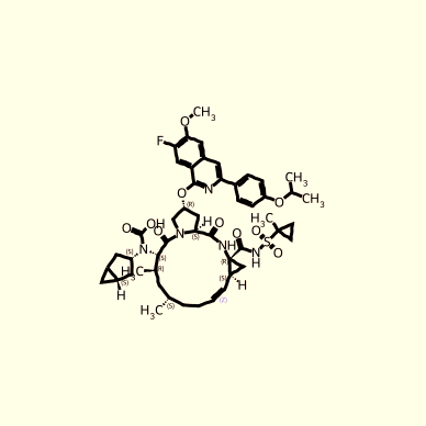 COc1cc2cc(-c3ccc(OC(C)C)cc3)nc(O[C@@H]3C[C@H]4C(=O)N[C@]5(C(=O)NS(=O)(=O)C6(C)CC6)C[C@H]5/C=C\CC[C@H](C)C[C@@H](C)[C@H](N(C(=O)O)[C@H]5CC6C[C@H]6C5)C(=O)N4C3)c2cc1F